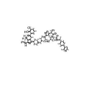 Cc1ncsc1-c1ccc([C@H](C)NC(=O)[C@@H]2C[C@@H](O)CN2C(=O)C(c2cc(N3CCC(CN4CCC(n5nc(NC(C)C)c(N)c5/C=C(\N)c5cccc(Cl)c5O)CC4)CC3)no2)C(C)C)cc1